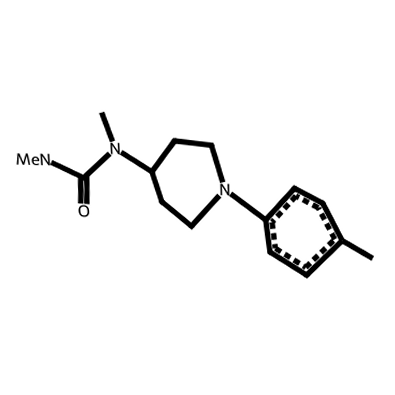 CNC(=O)N(C)C1CCN(c2ccc(C)cc2)CC1